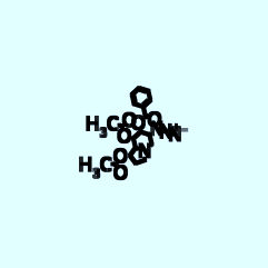 CC(=O)O[C@H]1CCN2C[C@H](N=[N+]=[N-])[C@@H](OC(=O)c3ccccc3)[C@H](OC(C)=O)C12